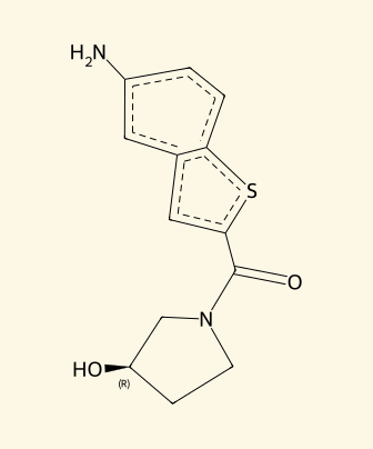 Nc1ccc2sc(C(=O)N3CC[C@@H](O)C3)cc2c1